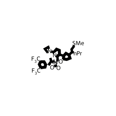 CCCC(CCSC)c1ccc(OC)c(-c2ccc(N3CCC3)nc2CN2C(=O)O[C@H](c3cc(C(F)(F)F)cc(C(F)(F)F)c3)C2C)c1